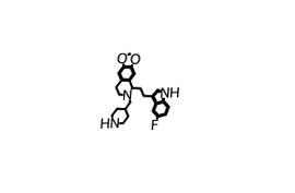 Fc1ccc2[nH]cc(CCC3c4cc5c(cc4CCN3CC3CCNCC3)OCO5)c2c1